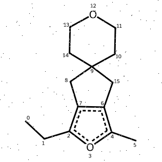 CCc1oc(C)c2c1CC1(CCOCC1)C2